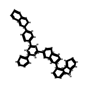 C1=c2ccccc2=CC(c2ccc(-c3nc(-c4ccccc4)nc(-c4ccc5ccc(-c6cccc7oc8ccccc8c67)cc5c4)n3)cc2)C1